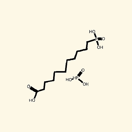 O=C(O)CCCCCCCCCCP(=O)(O)O.O=[PH](O)O